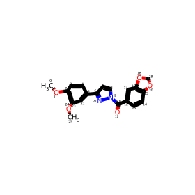 COc1ccc(-c2ccn(C(=O)c3ccc4c(c3)OCO4)n2)cc1OC